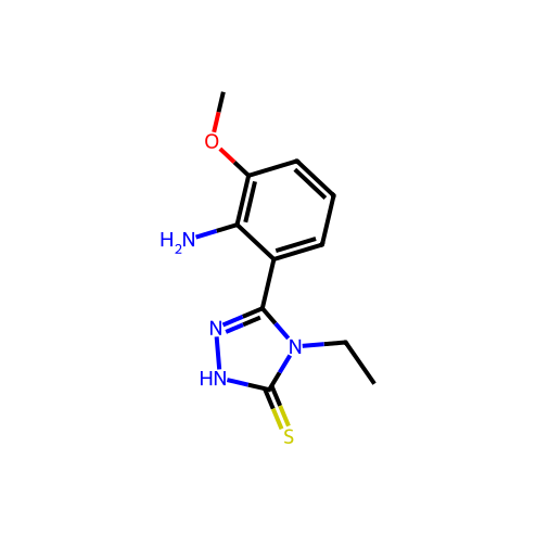 CCn1c(-c2cccc(OC)c2N)n[nH]c1=S